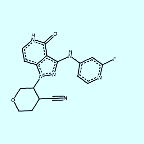 N#CC1CCOCC1n1nc(Nc2ccnc(F)c2)c2c(=O)[nH]ccc21